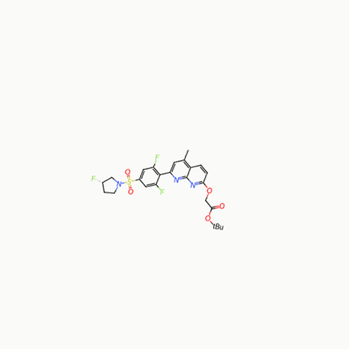 Cc1cc(-c2c(F)cc(S(=O)(=O)N3CC[C@H](F)C3)cc2F)nc2nc(OCC(=O)OC(C)(C)C)ccc12